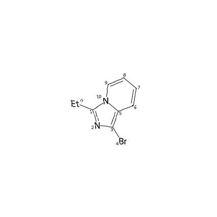 CCc1nc(Br)c2ccccn12